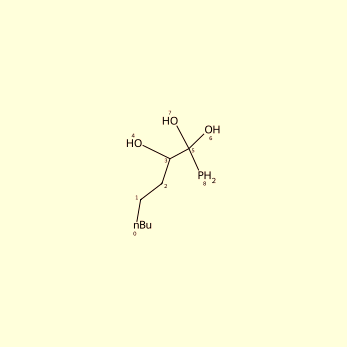 CCCCCCC(O)C(O)(O)P